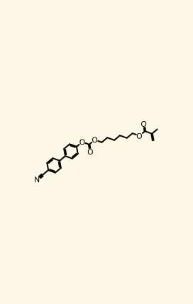 C=C(C)C(=O)OCCCCCCOC(=O)Oc1ccc(-c2ccc(C#N)cc2)cc1